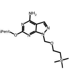 CCCC(C)Oc1nc(N)c2cnn(COCC[Si](C)(C)C)c2n1